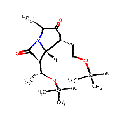 C[C@@H](O[Si](C)(C)C(C)(C)C)[C@H]1C(=O)N2C(C(=O)O)C(=O)[C@H](CCO[Si](C)(C)C(C)(C)C)[C@H]12